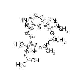 Cc1c2c(nn1C[C@@H](C)O)CN(C)C[C@H](C)Oc1c(cnn1C)-c1ccc3[nH]nc(c3c1)/C=C/2